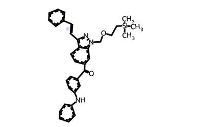 C[Si](C)(C)CCOCn1nc(/C=C/c2ccccc2)c2ccc(C(=O)c3cccc(Nc4ccccc4)c3)cc21